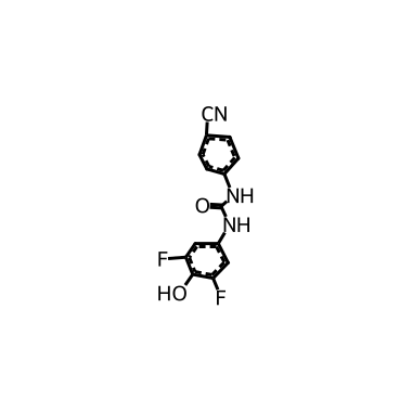 N#Cc1ccc(NC(=O)Nc2cc(F)c(O)c(F)c2)cc1